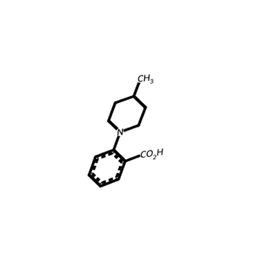 CC1CCN(c2ccccc2C(=O)O)CC1